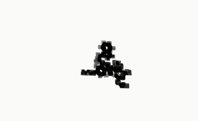 CCOC(OCC)[C@H](CC(=O)OC(C)(C)C)NS(=O)(=O)c1ccc(NC(C)=O)cc1O[C@H](C)Cn1ncc2ccccc21